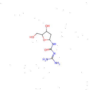 NC(N)=NC(=O)NC1CC(O)C(CO)O1